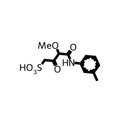 COC(C(=O)CS(=O)(=O)O)C(=O)Nc1cccc(C)c1